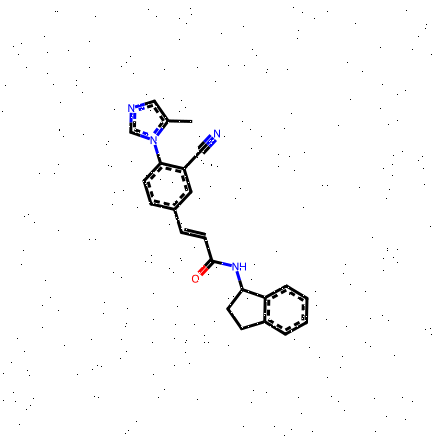 Cc1cncn1-c1ccc(C=CC(=O)NC2CCc3ccccc32)cc1C#N